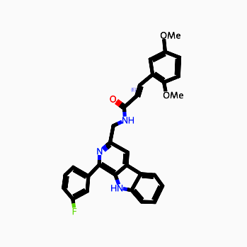 COc1ccc(OC)c(/C=C/C(=O)NCc2cc3c([nH]c4ccccc43)c(-c3cccc(F)c3)n2)c1